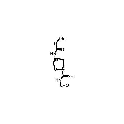 CC(C)(C)OC(=O)N[C@@H]1CC[C@@H](C(=N)NC=O)OC1